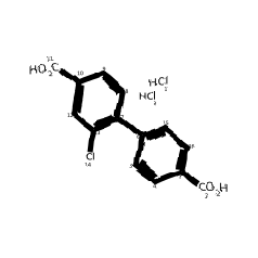 Cl.Cl.O=C(O)c1ccc(-c2ccc(C(=O)O)cc2Cl)cc1